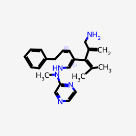 C=C(CN)C(=C(C)C)C(/C=C\Cc1ccccc1)=C/NN(C)c1cnccn1